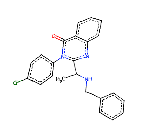 CC(NCc1ccccc1)c1nc2ccccc2c(=O)n1-c1ccc(Cl)cc1